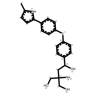 Cc1ccc(-c2ccc(Sc3ccc(C(O)CC(N)(CO)CO)cc3)cc2)[nH]1